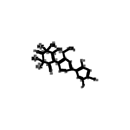 CCc1cc(-c2cc(F)c(F)cc2F)ccc1C1=C(O)C(C)(C)C(=O)C(C)(C)C1=O